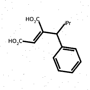 CC(C)C(C(=CC(=O)O)C(=O)O)c1ccccc1